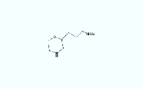 CC(=O)NCCCC1CNCCO1